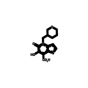 O=C(O)c1c(O)c(=O)n(CC2CCCOC2)c2ccsc12